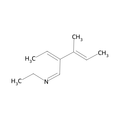 C/C=C(\C=N/CC)C(/C)=C/C